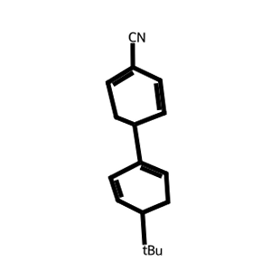 CC(C)(C)C1C=CC(C2C=CC(C#N)=CC2)=CC1